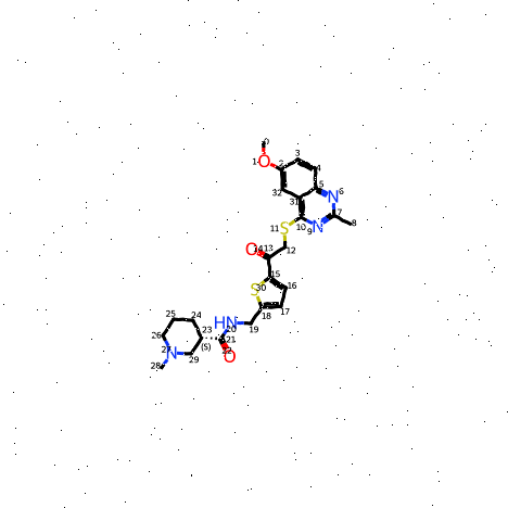 COc1ccc2nc(C)nc(SCC(=O)c3ccc(CNC(=O)[C@H]4CCCN(C)C4)s3)c2c1